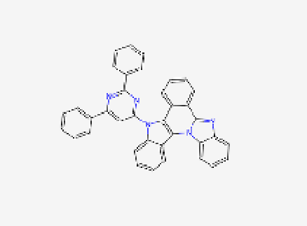 c1ccc(-c2cc(-n3c4ccccc4c4c3c3ccccc3c3nc5ccccc5n34)nc(-c3ccccc3)n2)cc1